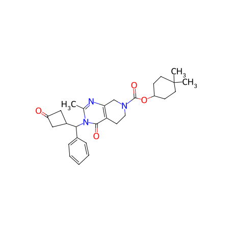 Cc1nc2c(c(=O)n1C(c1ccccc1)C1CC(=O)C1)CCN(C(=O)OC1CCC(C)(C)CC1)C2